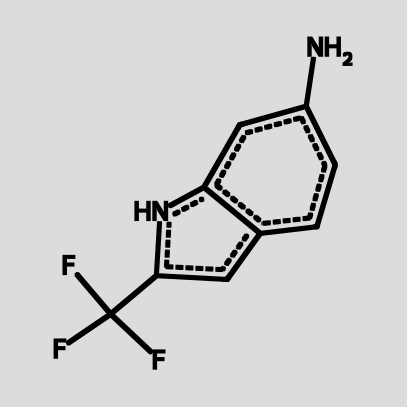 Nc1ccc2cc(C(F)(F)F)[nH]c2c1